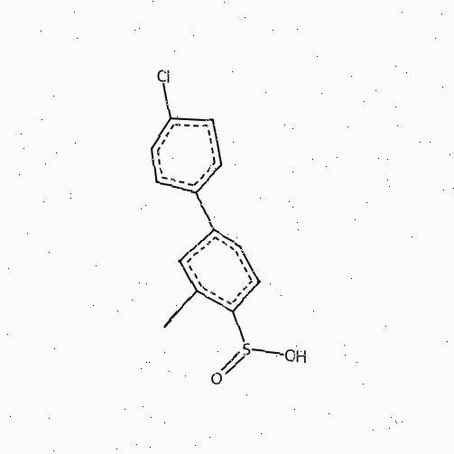 Cc1cc(-c2ccc(Cl)cc2)ccc1S(=O)O